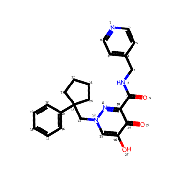 O=C(NCc1ccncc1)c1nn(CC2(c3ccccc3)CCCC2)cc(O)c1=O